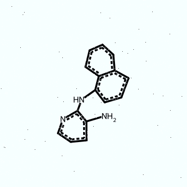 Nc1cccnc1Nc1cccc2ccccc12